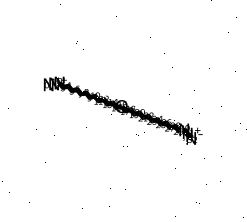 [N-]=[N+]=NCCCCCCCCCCCCCOCCCCCCCCCCCCCN=[N+]=[N-]